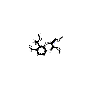 CO/C=C(/Oc1cccc(C=O)c1C(=O)OC)C(=O)OC